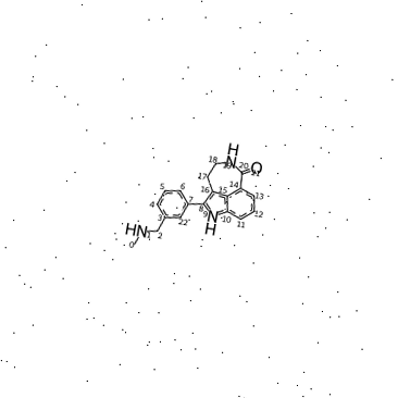 CNCc1cccc(-c2[nH]c3cccc4c3c2CCNC4=O)c1